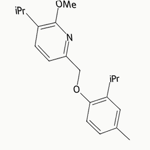 COc1nc(COc2ccc(C)cc2C(C)C)ccc1C(C)C